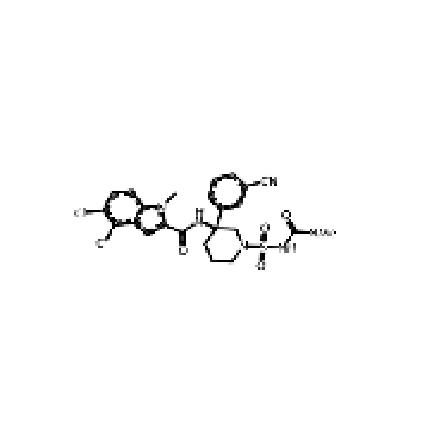 CNC(=O)NS(=O)(=O)N1CCCC(NC(=O)c2cc3c(Cl)c(Cl)ccc3n2C)(c2cccc(C#N)c2)C1